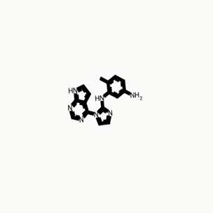 Cc1ccc(N)cc1Nc1nccn1-c1ncnc2[nH]ccc12